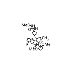 COCCN(C)Cc1c(-c2ccc(NC(=O)NOC)cc2)sc2c1c(=O)n(-c1ncccc1OC)c(=O)n2Cc1c(F)cccc1F